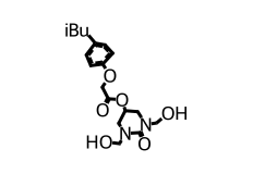 CCC(C)c1ccc(OCC(=O)OC2CN(CO)C(=O)N(CO)C2)cc1